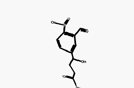 O=Cc1cc(C(O)CCC(=O)O)ccc1[N+](=O)[O-]